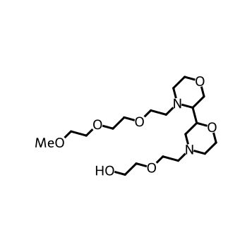 COCCOCCOCCN1CCOCC1C1CN(CCOCCO)CCO1